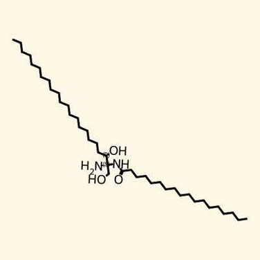 CCCCCCCCCCCCCCCCCCC[C@@H](O)[C@](N)(CO)NC(=O)CCCCCCCCCCCCCCCCC